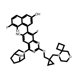 CCc1c(F)ccc2cc(O)cc(-c3c(C#N)cc4c(N5CC6CCC(C5)N6)nc(OCC5(CN6CCOCC67CCC7)CC5)nc4c3F)c12